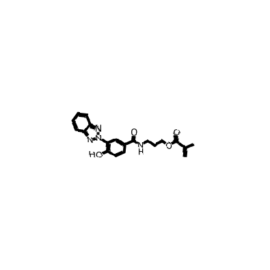 C=C(C)C(=O)OCCCNC(=O)c1ccc(O)c(-n2nc3ccccc3n2)c1